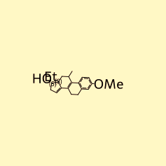 CC[C@]12CC(C)C3=C(CCc4cc(OC)ccc43)C1=CC[C@@H]2O